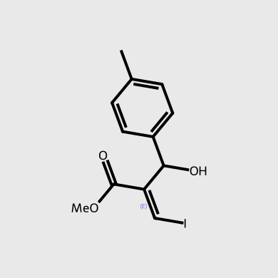 COC(=O)/C(=C/I)C(O)c1ccc(C)cc1